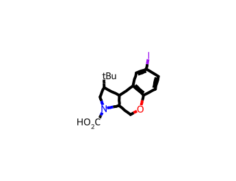 CC(C)(C)C1CN(C(=O)O)C2COc3ccc(I)cc3C21